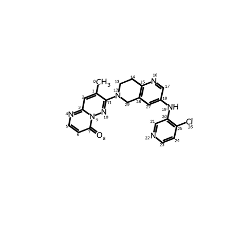 Cc1cc2nccc(=O)n2nc1N1CCc2ncc(Nc3cnccc3Cl)cc2C1